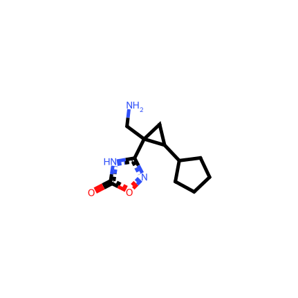 NCC1(c2noc(=O)[nH]2)CC1C1CCCC1